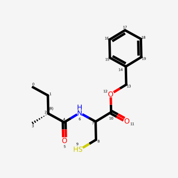 CC[C@@H](C)C(=O)NC(CS)C(=O)OCc1ccccc1